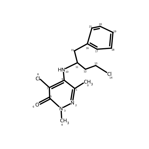 Cc1nn(C)c(=O)c(Cl)c1NC(CCCl)Cc1ccccc1